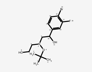 CC(C)(C)ON(CCO)CC(O)c1ccc(Br)c(F)c1